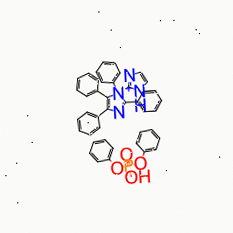 O=P(O)(Oc1ccccc1)Oc1ccccc1.c1ccc(C2=NC(c3ccccc3)=C(c3ccccc3)[N+]2(c2ccccc2)c2ncc[nH]2)cc1